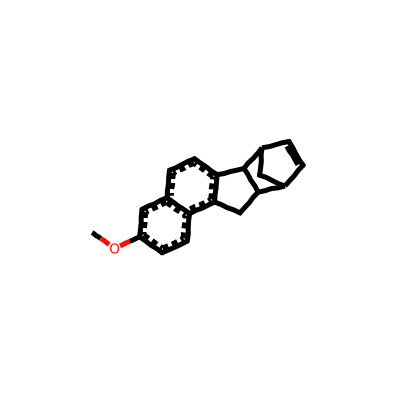 COc1ccc2c3c(ccc2c1)C1C2C=CC(C2)C1C3